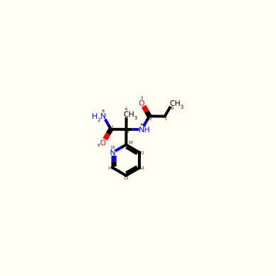 CCC(=O)NC(C)(C(N)=O)c1ccccn1